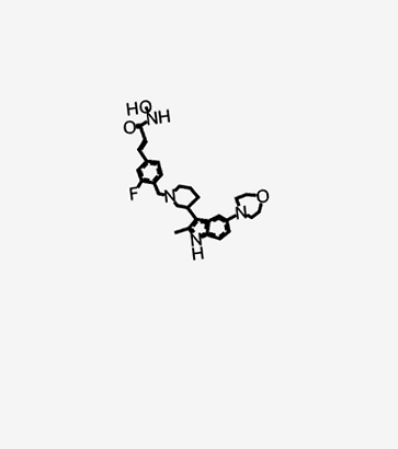 Cc1[nH]c2ccc(N3CCOCC3)cc2c1C1CCCN(Cc2ccc(C=CC(=O)NO)cc2F)C1